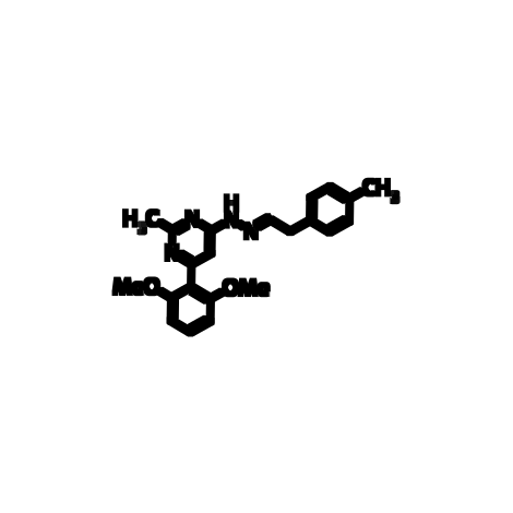 COc1cccc(OC)c1-c1cc(NN=CCc2ccc(C)cc2)nc(C)n1